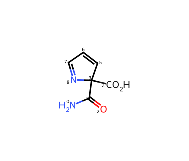 NC(=O)C1(C(=O)O)C=CC=N1